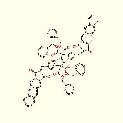 C=Cc1cc2cc3c(cc2cc1C)C(=O)/C(=C/c1cc2c(s1)C1=C(c4sc(C=C5C(=O)c6cc7cc8ccccc8cc7cc6C5=O)cc4C1(C(=O)OCc1ccccc1)C(=O)OCc1ccccc1)C2(C(=O)OCc1ccccc1)C(=O)OCc1ccccc1)C3=O